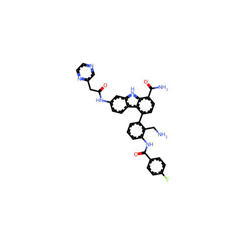 NCc1c(NC(=O)c2ccc(F)cc2)cccc1-c1ccc(C(N)=O)c2[nH]c3cc(NC(=O)Cc4cnccn4)ccc3c12